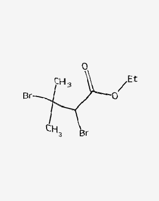 CCOC(=O)C(Br)C(C)(C)Br